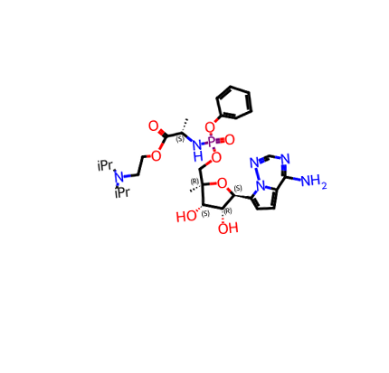 CC(C)N(CCOC(=O)[C@H](C)NP(=O)(OC[C@@]1(C)O[C@@H](c2ccc3c(N)ncnn23)[C@H](O)[C@@H]1O)Oc1ccccc1)C(C)C